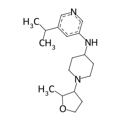 CC(C)c1cncc(NC2CCN(C3CCOC3C)CC2)c1